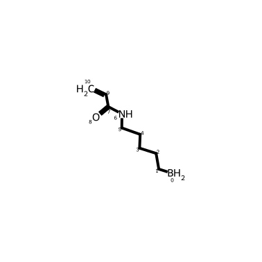 BCCCCCNC(=O)C=C